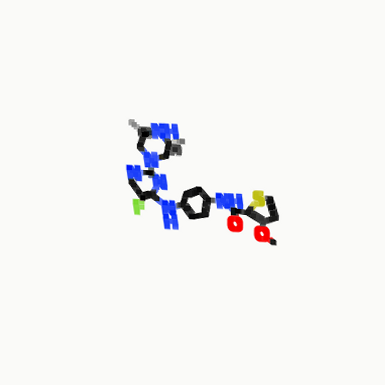 COc1ccsc1C(=O)Nc1ccc(Nc2nc(N3C[C@@H](C)N[C@@H](C)C3)ncc2F)cc1